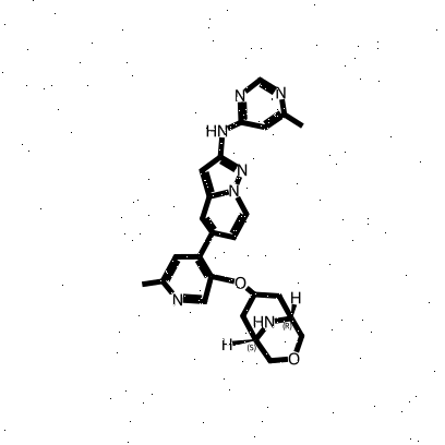 Cc1cc(Nc2cc3cc(-c4cc(C)ncc4OC4C[C@H]5COC[C@@H](C4)N5)ccn3n2)ncn1